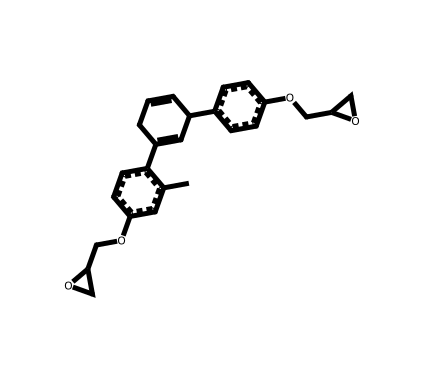 Cc1cc(OCC2CO2)ccc1C1=CC(c2ccc(OCC3CO3)cc2)C=CC1